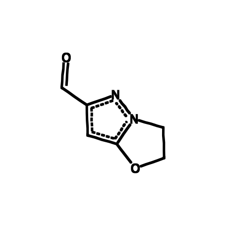 O=Cc1cc2n(n1)CCO2